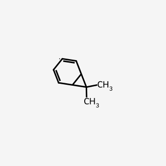 CC1(C)C2C=[C]C=CC21